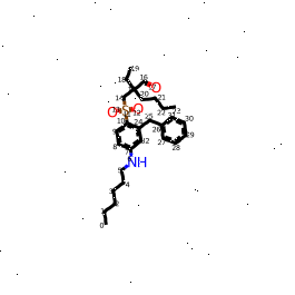 CCCCCCNc1ccc(S(=O)(=O)CC(C=O)(CC)CCCC)c(Cc2ccccc2)c1